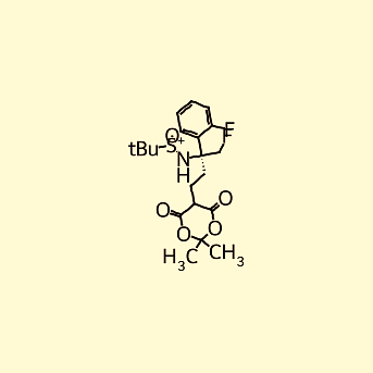 CC1(C)OC(=O)C(CC[C@](CF)(N[S+]([O-])C(C)(C)C)c2ccccc2F)C(=O)O1